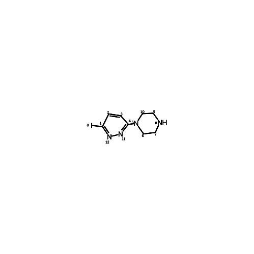 Ic1ccc(N2CCNCC2)nn1